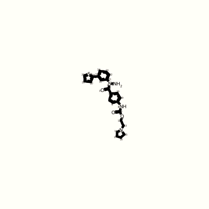 NN(C(=O)c1ccc(NC(=O)OCCN2CCCC2)cc1)c1cccc(-c2cccs2)c1